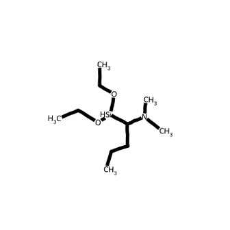 CCCC(N(C)C)[SiH](OCC)OCC